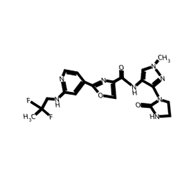 Cn1cc(NC(=O)c2coc(-c3ccnc(NCC(C)(F)F)c3)n2)c(N2CCNC2=O)n1